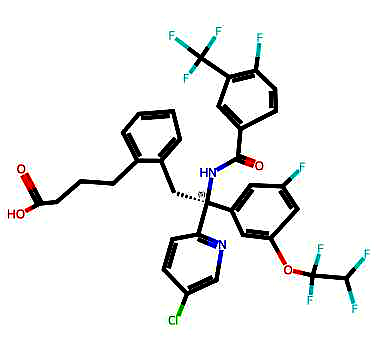 O=C(O)CCCc1ccccc1C[C@](NC(=O)c1ccc(F)c(C(F)(F)F)c1)(c1cc(F)cc(OC(F)(F)C(F)F)c1)c1ccc(Cl)cn1